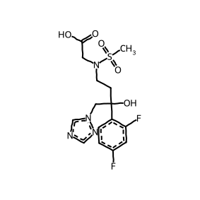 CS(=O)(=O)N(CCC(O)(Cn1cncn1)c1ccc(F)cc1F)CC(=O)O